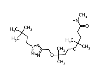 CNC(=O)CCC(C)(C)OCCC(C)(C)OCc1cn(CCC(C)(C)C)nn1